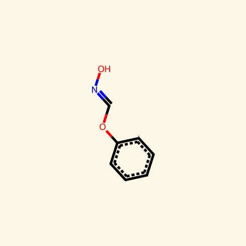 ON=COc1[c]cccc1